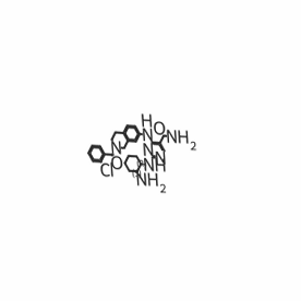 NC(=O)c1cnc(N[C@@H]2CCCC[C@@H]2N)nc1Nc1ccc2c(c1)CN(C(=O)c1ccccc1Cl)CC2